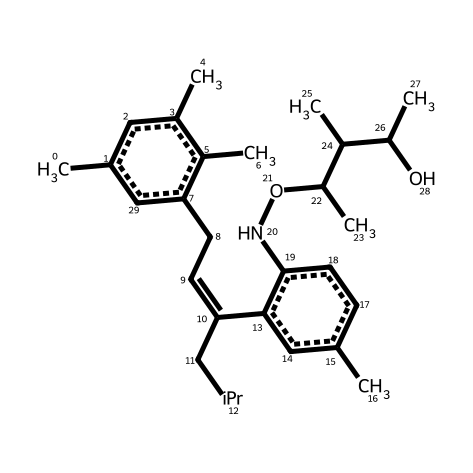 Cc1cc(C)c(C)c(C/C=C(/CC(C)C)c2cc(C)ccc2NOC(C)C(C)C(C)O)c1